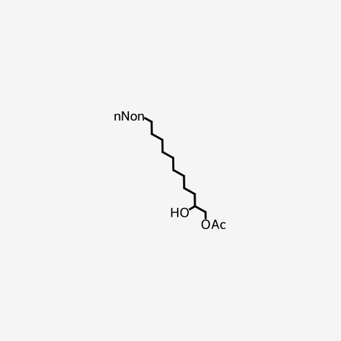 CCCCCCCCCCCCCCCCCCC(O)COC(C)=O